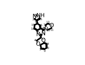 C1=CC2OCC(c3nc(N4CCOCC4)c4c(n3)=CCC(c3cn[nH]c3)C=4)OC2C=C1